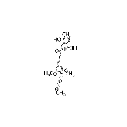 COCCOCOc1c(OC)cc(/C=C/C=C/C(=O)NCc2c(CO)cnc(C)c2O)cc1OC